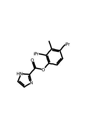 Cc1c(C(C)C)ccc(OC(=O)c2ncc[nH]2)c1C(C)C